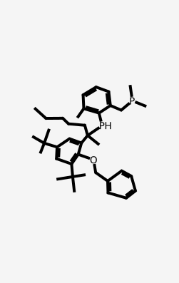 CCCCCC(C)(Pc1c(C)cccc1CP(C)C)c1cc(C(C)(C)C)cc(C(C)(C)C)c1OCc1ccccc1